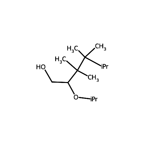 CC(C)OC(CO)C(C)(C)C(C)(C)C(C)C